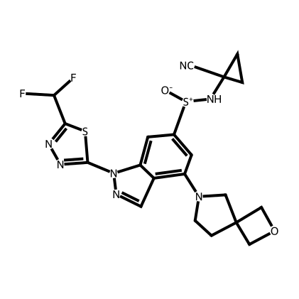 N#CC1(N[S+]([O-])c2cc(N3CCC4(COC4)C3)c3cnn(-c4nnc(C(F)F)s4)c3c2)CC1